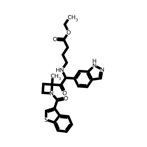 CCOC(=O)CCCNC(C(=O)C1(C)CCN1C(=O)c1csc2ccccc12)c1ccc2cn[nH]c2c1